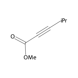 COC(=O)C#CC(C)C